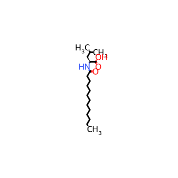 CCCCCCCCCCCCC(=O)N[C@@H](CC(C)C)C(=O)O